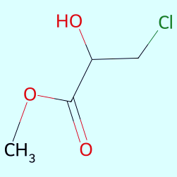 COC(=O)C(O)CCl